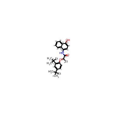 CCC(Oc1ccc(C(C)(C)CC)cc1C(C)(C)CC)C(=O)Nc1ccc(O)c2ccccc12